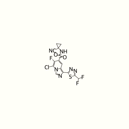 N#CC1(NS(=O)(=O)c2cc3c(-c4nnc(C(F)F)s4)ncn3c(Cl)c2F)CC1